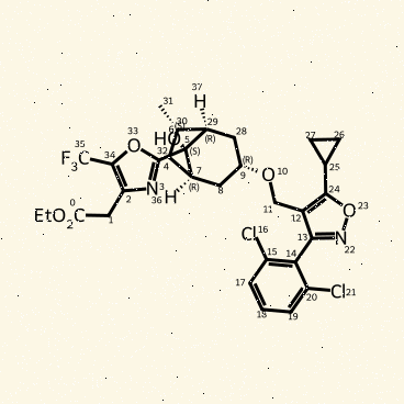 CCOC(=O)Cc1nc([C@]2(O)[C@H]3C[C@@H](OCc4c(-c5c(Cl)cccc5Cl)noc4C4CC4)C[C@@H]2[C@@H](C)C3)oc1C(F)(F)F